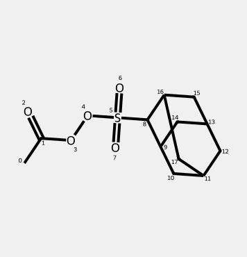 CC(=O)OOS(=O)(=O)C1C2CC3CC(C2)CC1C3